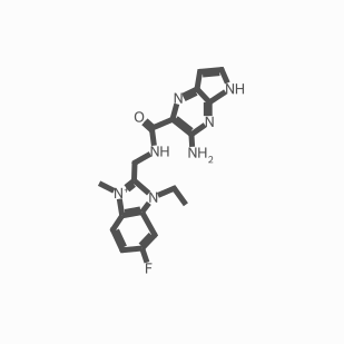 CCn1c(CNC(=O)c2nc3cc[nH]c3nc2N)[n+](C)c2ccc(F)cc21